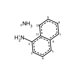 N.Nc1cccc2ccccc12